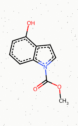 COC(=O)n1ccc2c(O)cccc21